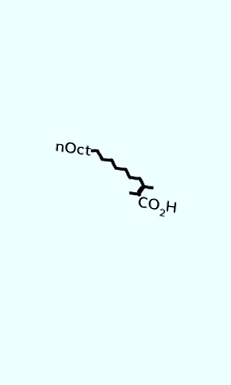 CCCCCCCCCCCCCCCC(C)=C(C)C(=O)O